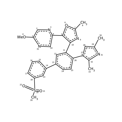 COc1cnc(-c2oc(C)nc2-c2cc(-c3cccc(S(C)(=O)=O)c3)ccc2-n2cc(C)nc2C)cn1